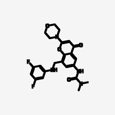 CN(C)C(=O)Nc1cc(CNc2cc(F)cc(F)c2)c2oc(N3CCOCC3)cc(=O)c2c1